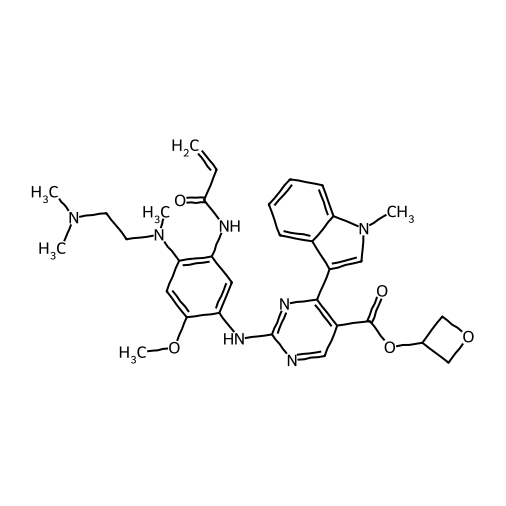 C=CC(=O)Nc1cc(Nc2ncc(C(=O)OC3COC3)c(-c3cn(C)c4ccccc34)n2)c(OC)cc1N(C)CCN(C)C